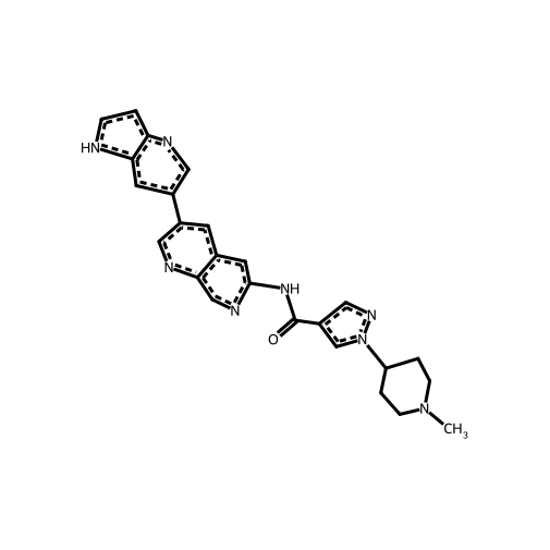 CN1CCC(n2cc(C(=O)Nc3cc4cc(-c5cnc6cc[nH]c6c5)cnc4cn3)cn2)CC1